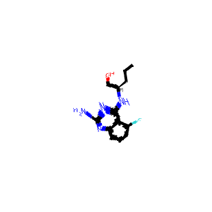 CCC[C@H](CO)Nc1nc(N)nc2cccc(F)c12